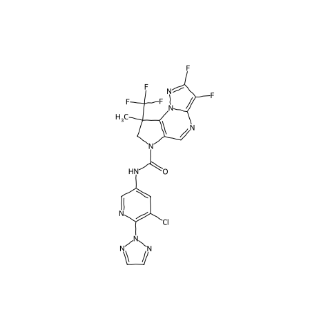 CC1(C(F)(F)F)CN(C(=O)Nc2cnc(-n3nccn3)c(Cl)c2)c2cnc3c(F)c(F)nn3c21